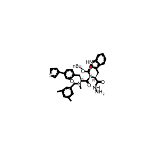 CCCCOC(=O)N(C(=O)[C@H](Cc1ccc(-c2ccsc2)cc1)N(C)C(=O)c1cc(C)cc(C)c1)[C@@H](Cc1c[nH]c2ccccc12)C(=O)NN